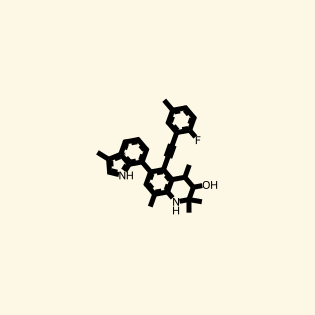 Cc1ccc(F)c(C#Cc2c(-c3cccc4c(C)c[nH]c34)cc(C)c3c2C(C)C(O)C(C)(C)N3)c1